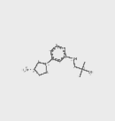 CC(C)(O)CNc1cc(N2CC[C@H](N)C2)ccn1